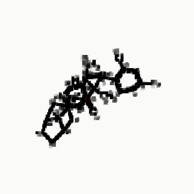 CC(C)(Oc1ccc(F)cc1Cl)C(=O)NC1CC2CCC(C1)N2c1ccc(C(N)=O)cn1